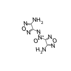 Nc1nonc1/N=[N+](\[O-])c1nonc1N